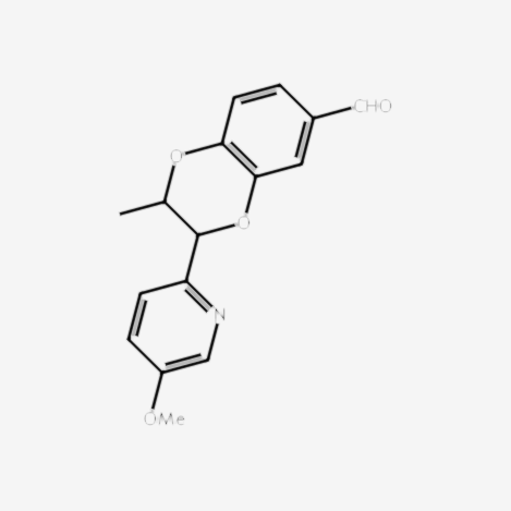 COc1ccc(C2Oc3cc(C=O)ccc3OC2C)nc1